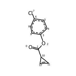 O=C(Oc1ccc(Cl)cc1)C1C=C1